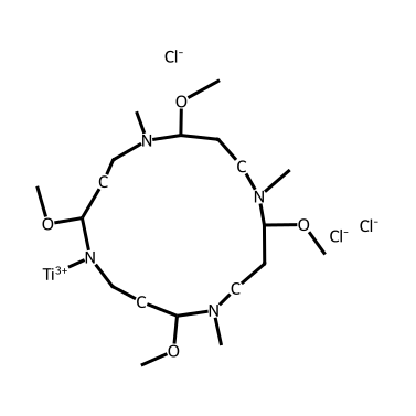 COC1CCN(C)C(OC)CC[N]([Ti+3])C(OC)CCN(C)C(OC)CCN1C.[Cl-].[Cl-].[Cl-]